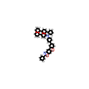 c1ccc(-c2ccc(-c3ccccc3N(c3ccc(-c4ccccc4)cc3)c3ccc(-c4ccc5oc6cc7oc(-c8ccccc8)nc7cc6c5c4)cc3)cc2)cc1